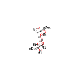 CCCCCCCCCCC(OCC)=C(OCC)C(CC)OCOCOC(CC)C(OCC)=C(CCCCCCCCCC)OCC